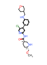 COC[C@@H]1CC[C@@H](C(=O)Nc2cc(-c3cccc(NCC4CCOCC4)c3)c(Cl)cn2)CN1